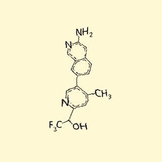 Cc1cc(C(O)C(F)(F)F)ncc1-c1ccc2cc(N)ncc2c1